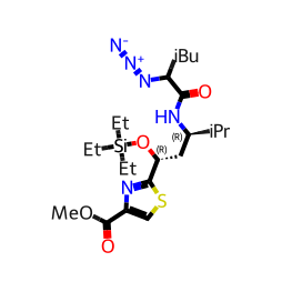 CCC(C)C(N=[N+]=[N-])C(=O)N[C@H](C[C@@H](O[Si](CC)(CC)CC)c1nc(C(=O)OC)cs1)C(C)C